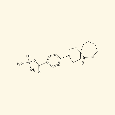 CC(C)(C)OC(=O)c1ccc(N2CCC3(CCCCNC3=O)CC2)nc1